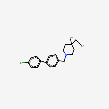 CC(C)C1(CC#N)CCN(Cc2ccc(-c3ccc(Cl)cc3)cc2)CC1